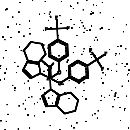 C[Si](C)=[Zr]([O]c1ccc(C(F)(F)F)cc1)([O]c1ccc(C(F)(F)F)cc1)([CH]1C=CC2=C1CCCC2)[CH]1C=CC2=C1CCCC2